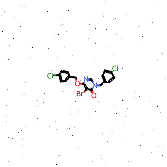 O=c1c(Br)c(OCc2ccc(Cl)cc2)ncn1Cc1ccc(Cl)cc1